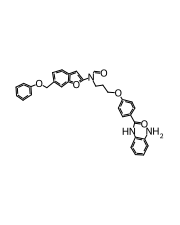 Nc1ccccc1NC(=O)c1ccc(OCCCN(C=O)c2cc3ccc(COc4ccccc4)cc3o2)cc1